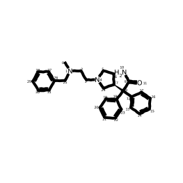 CN(CCN1CC[C@@H](C(C(N)=O)(c2ccccc2)c2ccccc2)C1)Cc1ccccc1